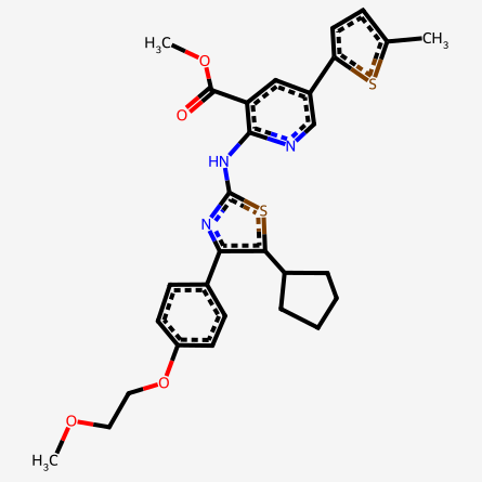 COCCOc1ccc(-c2nc(Nc3ncc(-c4ccc(C)s4)cc3C(=O)OC)sc2C2CCCC2)cc1